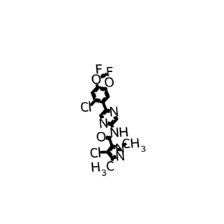 Cc1nn(C)c(C(=O)Nc2cnc(-c3cc4c(cc3Cl)OC(F)(F)O4)cn2)c1Cl